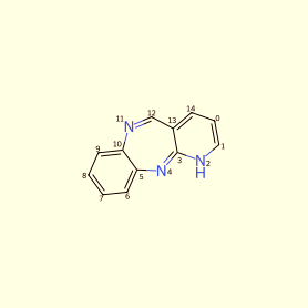 C1=CNC2=Nc3ccccc3N=CC2=C1